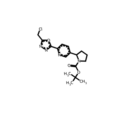 CC(C)(C)OC(=O)N1CCCC1c1ccc(-c2nnc(CCl)o2)nc1